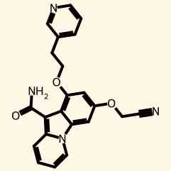 N#CCOc1cc(OCCc2cccnc2)c2c(C(N)=O)c3ccccn3c2c1